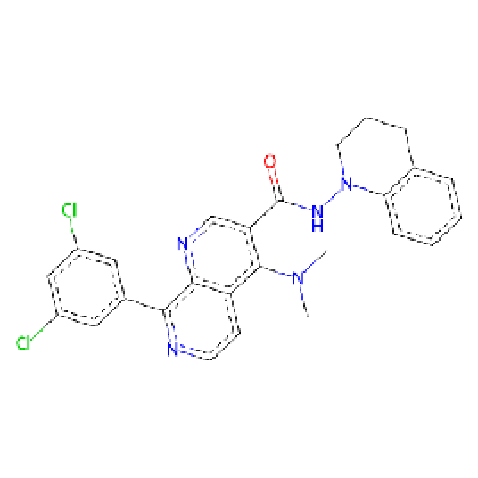 CN(C)c1c(C(=O)NN2CCCc3ccccc32)cnc2c(-c3cc(Cl)cc(Cl)c3)nccc12